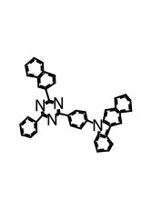 c1ccc(-c2nc(-c3ccc(-n4c5ccccc5c5cc6ccccc6cc54)cc3)nc(-c3ccc4ccccc4c3)n2)cc1